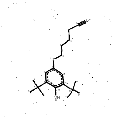 CC(C)(C)c1cc(SCCCCC#N)cc(C(C)(C)C)c1O